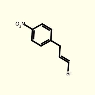 O=[N+]([O-])c1ccc(CC=CBr)cc1